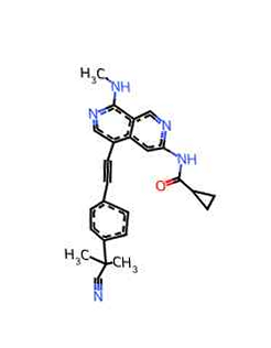 CNc1ncc(C#Cc2ccc(C(C)(C)C#N)cc2)c2cc(NC(=O)C3CC3)ncc12